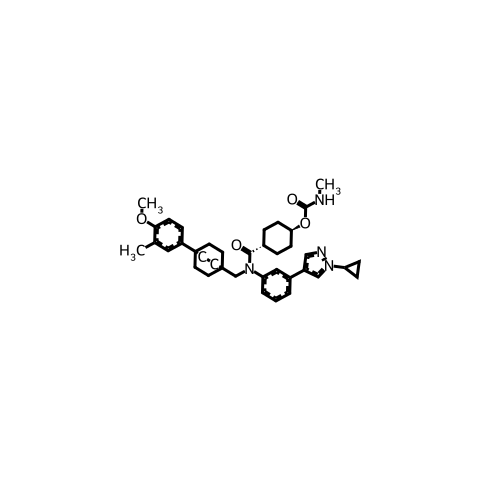 CNC(=O)O[C@H]1CC[C@H](C(=O)N(CC23CCC(c4ccc(OC)c(C)c4)(CC2)CC3)c2cccc(-c3cnn(C4CC4)c3)c2)CC1